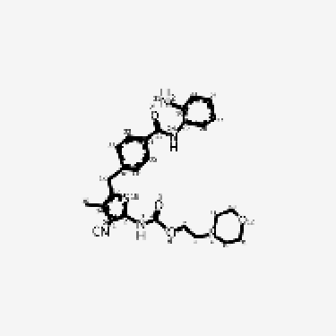 [C-]#[N+]c1c(NC(=O)OCCN2CCOCC2)sc(Cc2ccc(C(=O)Nc3ccccc3N)cc2)c1C